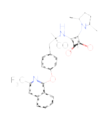 C[C@@H]1CC[C@H](C)N1c1c(N[C@@](C)(Cc2ccc(Oc3nc(C(F)(F)F)cc4ccccc34)cc2)C(=O)O)c(=O)c1=O